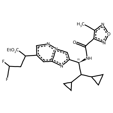 CCOC(=O)C(CC(F)F)c1cnn2cc([C@@H](NC(=O)c3nonc3C)C(C3CC3)C3CC3)nc2c1